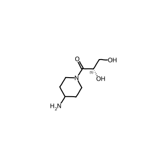 NC1CCN(C(=O)[C@@H](O)CO)CC1